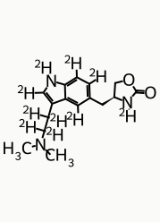 [2H]c1c(C[C@H]2COC(=O)N2[2H])c([2H])c2c(C([2H])([2H])C([2H])([2H])N(C)C)c([2H])n([2H])c2c1[2H]